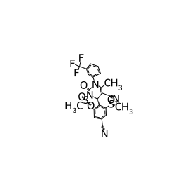 CC1=C(C#N)[C@@H](c2ccc(C#N)cc2[S@+](C)[O-])N(S(C)(=O)=O)C(=O)N1c1cccc(C(F)(F)F)c1